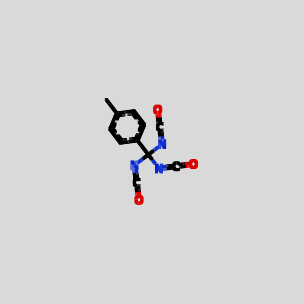 Cc1ccc(C(N=C=O)(N=C=O)N=C=O)cc1